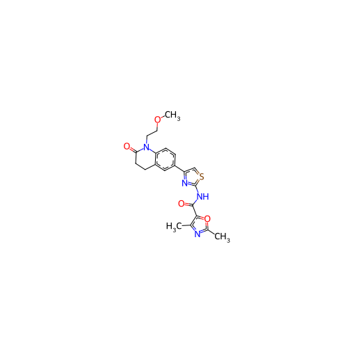 COCCN1C(=O)CCc2cc(-c3csc(NC(=O)c4oc(C)nc4C)n3)ccc21